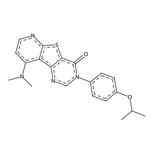 CC(C)Oc1ccc(-n2cnc3c(sc4nccc(N(C)C)c43)c2=O)cc1